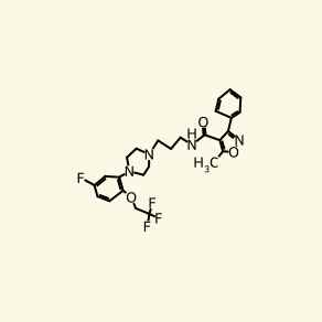 Cc1onc(-c2ccccc2)c1C(=O)NCCCN1CCN(c2cc(F)ccc2OCC(F)(F)F)CC1